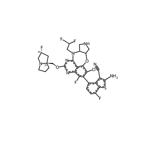 N#Cc1c(N)sc2c(F)ccc(-c3c(Cl)c4c5c(nc(OC[C@@]67CCCN6C[C@H](F)C7)nc5c3F)N(CC(F)F)C3CNCC3O4)c12